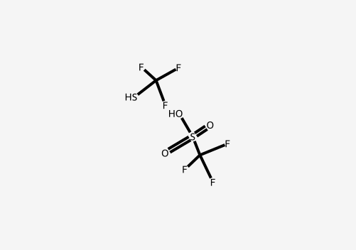 FC(F)(F)S.O=S(=O)(O)C(F)(F)F